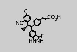 N#Cc1cc(Cl)ccc1/C(=C(\c1ccc(/C=C/C(=O)O)cc1)c1ccc2c(c1)C(F)NN2)C1CC1